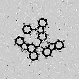 c1ccc(-n2c3ccccc3c3ccc(N(c4cc5c6ccccc6oc5c5ccccc45)c4cccc5c4sc4ccccc45)cc32)cc1